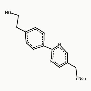 CCCCCCCCCCc1cnc(-c2ccc(CCO)cc2)nc1